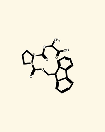 CC(OC(=O)[C@@H]1CCCN1C(=O)OCC1c2ccccc2-c2ccccc21)C(=O)O